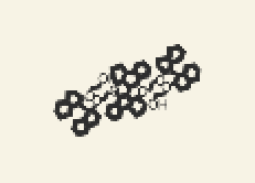 OCCOc1ccc2ccccc2c1-c1c(OCCOc2c(-c3c(OCCOc4ccc5ccccc5c4-c4c(OCCO)ccc5ccccc45)c4ccccc4c4ccccc34)c3ccccc3c3ccccc23)ccc2ccccc12